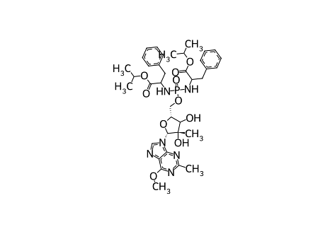 COc1nc(C)nc2c1ncn2[C@@H]1O[C@H](COP(=O)(NC(Cc2ccccc2)C(=O)OC(C)C)NC(Cc2ccccc2)C(=O)OC(C)C)C(O)[C@]1(C)O